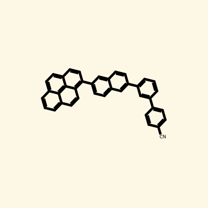 N#Cc1ccc(-c2cccc(-c3ccc4cc(-c5ccc6ccc7cccc8ccc5c6c78)ccc4c3)c2)cc1